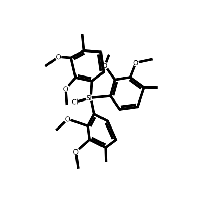 COc1c(C)ccc([Si](Cl)(c2ccc(C)c(OC)c2OC)c2ccc(C)c(OC)c2OC)c1OC